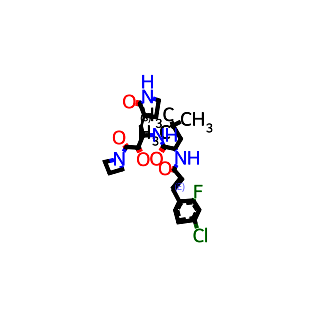 CC(C)(C)CC(NC(=O)/C=C/c1ccc(Cl)cc1F)C(=O)NC(C[C@@H]1CCNC1=O)C(=O)C(=O)N1CCC1